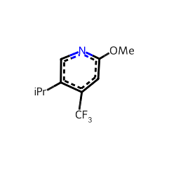 COc1cc(C(F)(F)F)c(C(C)C)cn1